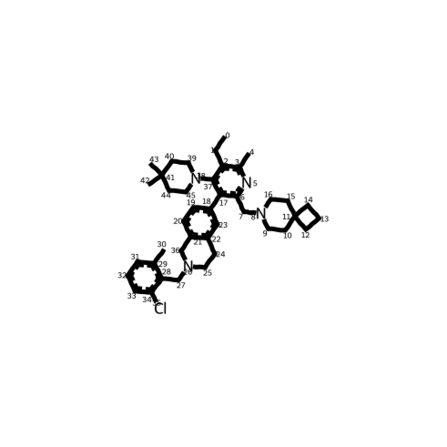 CCc1c(C)nc(CN2CCC3(CCC3)CC2)c(-c2ccc3c(c2)CCN(Cc2c(C)cccc2Cl)C3)c1N1CCC(C)(C)CC1